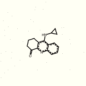 O=C1CCCc2c1nc1ccccc1c2NC1CC1